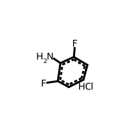 Cl.Nc1c(F)cccc1F